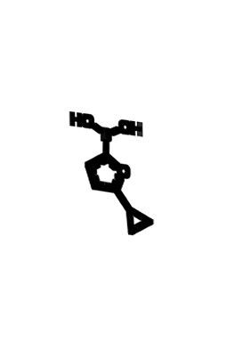 OB(O)c1ccc(C2CC2)o1